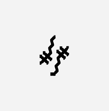 FC(F)(F)C(F)(F)CCCCI.OCCCCC(F)(F)C(F)(F)F